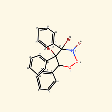 BrN1OOC(c2ccccc2)C(Br)(c2ccccc2)C1(Br)c1ccccc1